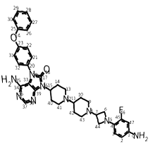 Nc1ccc(N2CC(N3CCC(N4CCC(n5c(=O)n(-c6ccc(Oc7ccccc7)cc6)c6c(N)ncnc65)CC4)CC3)C2)c(F)c1